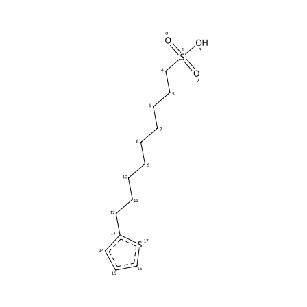 O=S(=O)(O)CCCCCCCCCc1cccs1